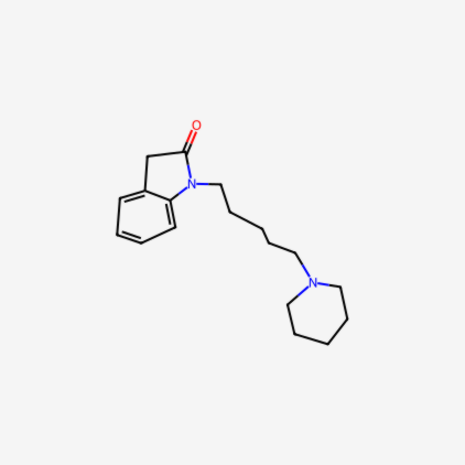 O=C1Cc2ccccc2N1CCCCCN1CCCCC1